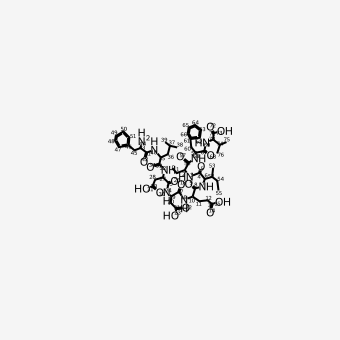 CCC(NC(=O)C(NC(=O)C(CCC(=O)O)NC(=O)C(CC(=O)O)NC(=O)C(CC(=O)O)NC(=O)C(CC(C)C)NC(=O)C(N)Cc1ccccc1)C(C)CC)C(=O)NC(Cc1ccccc1)C(=O)NC(C(=O)O)C(C)C